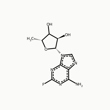 C[C@H]1O[C@@H](n2cnc3c(N)nc(F)nc32)[C@H](O)C1O